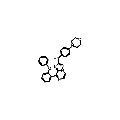 c1ccc(Oc2ccccc2-c2nccn3nc(Nc4ccc(N5CCOCC5)cc4)nc23)cc1